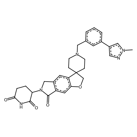 Cn1cc(-c2cccc(CN3CCC4(CC3)COc3cc5c(cc34)CN(C3CCC(=O)NC3=O)C5=O)c2)cn1